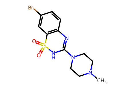 CN1CCN(C2=Nc3ccc(Br)cc3S(=O)(=O)N2)CC1